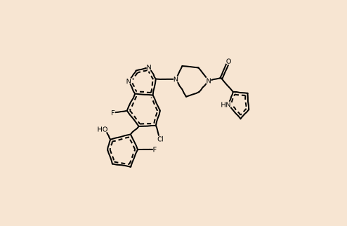 O=C(c1ccc[nH]1)N1CCN(c2ncnc3c(F)c(-c4c(O)cccc4F)c(Cl)cc23)CC1